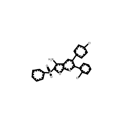 Nc1c(S(=O)(=O)c2ccccc2)oc2nc(-c3ccccc3Cl)c(-c3ccc(Cl)cc3)cc12